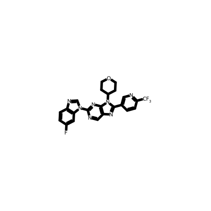 Fc1ccc2ncn(-c3ncc4nc(-c5ccc(C(F)(F)F)nc5)n(C5CCOCC5)c4n3)c2c1